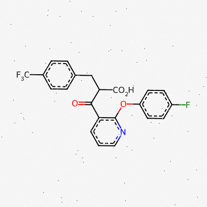 O=C(O)C(Cc1ccc(C(F)(F)F)cc1)C(=O)c1cccnc1Oc1ccc(F)cc1